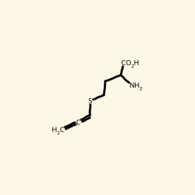 C=C=CSCCC(N)C(=O)O